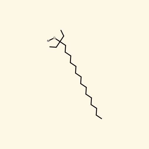 CCCCCCCCCCCCCCCC(CC)(CC)O[N]